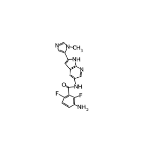 Cn1cncc1-c1cc2cc(NC(=O)c3c(F)ccc(N)c3F)cnc2[nH]1